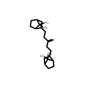 CC1(C)C2CCC1C(CCC(=O)CCC1CC3CCC1C3(C)C)C2